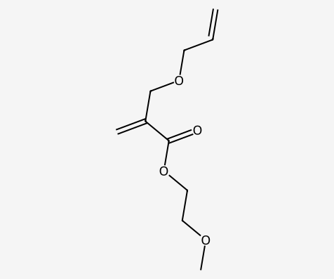 C=CCOCC(=C)C(=O)OCCOC